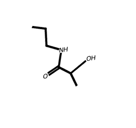 CCCNC(=O)C(C)O